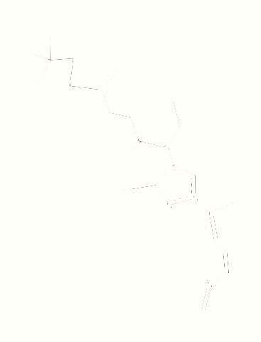 C=N/C=C\C=C(/C)n1cc(N(CC)C(=S)CC[S+]([O-])CCC(F)(F)F)c(Cl)n1